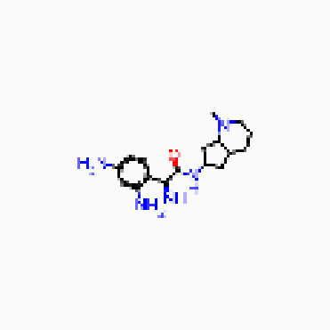 CN1CCCC2CC(NC(=O)C(=N)c3ccc(N)cc3N)CC21